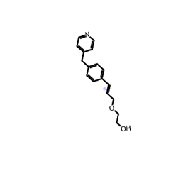 OCCOC/C=C/c1ccc(Cc2ccncc2)cc1